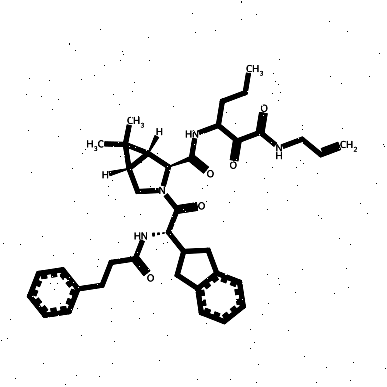 C=CCNC(=O)C(=O)C(CCC)NC(=O)[C@@H]1[C@@H]2[C@H](CN1C(=O)[C@@H](NC(=O)CCc1ccccc1)C1Cc3ccccc3C1)C2(C)C